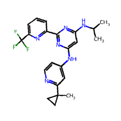 CC(C)Nc1cc(Nc2ccnc(C3(C)CC3)c2)nc(-c2cccc(C(F)(F)F)n2)n1